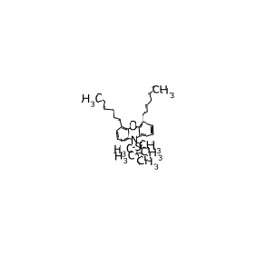 CCCCCCc1cccc2c1Oc1c(CCCCCC)cccc1N2[Si](C)(C)C(C)(C)C